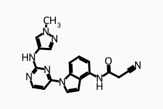 Cn1cc(Nc2nccc(-n3ccc4c(NC(=O)CC#N)cccc43)n2)cn1